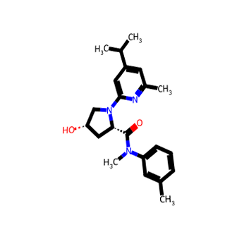 Cc1cccc(N(C)C(=O)[C@@H]2C[C@H](O)CN2c2cc(C(C)C)cc(C)n2)c1